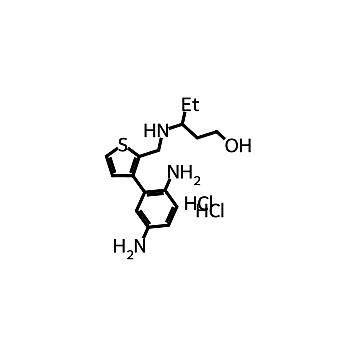 CCC(CCO)NCc1sccc1-c1cc(N)ccc1N.Cl.Cl